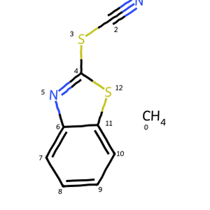 C.N#CSc1nc2ccccc2s1